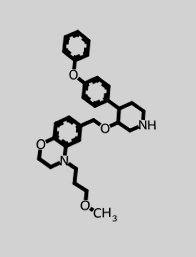 COCCCN1CCOc2ccc(COC3CNCCC3c3ccc(Oc4ccccc4)cc3)cc21